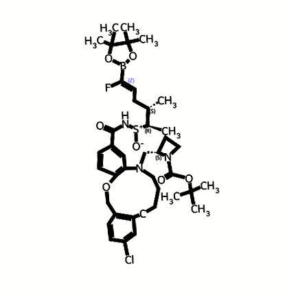 C[C@H]([C@@H](C)C/C=C(\F)B1OC(C)(C)C(C)(C)O1)[S+]([O-])NC(=O)c1ccc2c(c1)N(C[C@@H]1CCN1C(=O)OC(C)(C)C)CCCCc1cc(Cl)ccc1CO2